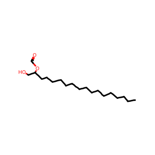 CCCCCCCCCCCCCCCCC(CO)OC=O